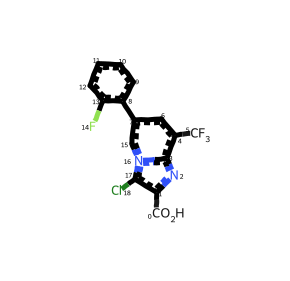 O=C(O)c1nc2c(C(F)(F)F)cc(-c3ccccc3F)cn2c1Cl